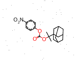 CC(C)(OC(=O)Oc1ccc([N+](=O)[O-])cc1)C12CC3CC(CC(C3)C1)C2